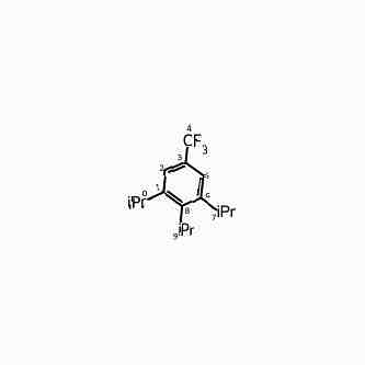 CC(C)c1cc(C(F)(F)F)cc(C(C)C)c1C(C)C